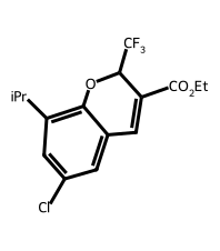 CCOC(=O)C1=Cc2cc(Cl)cc(C(C)C)c2OC1C(F)(F)F